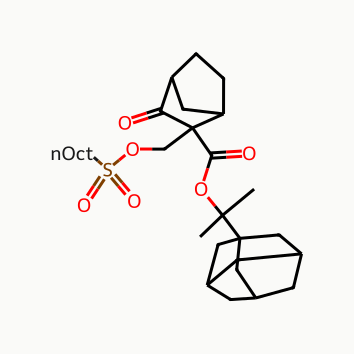 CCCCCCCCS(=O)(=O)OCC1(C(=O)OC(C)(C)C23CC4CC(CC(C4)C2)C3)C(=O)C2CCC1C2